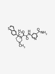 C[C@H]1CC[C@@](C)(c2ccc3sccc3c2)N(C(=O)C(=O)Nc2cncc(C(N)=O)c2)C1